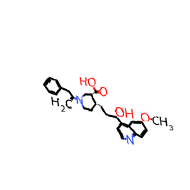 C=C(Cc1ccccc1)N1CC[C@@H](CC[C@H](O)c2ccnc3ccc(OC)cc23)[C@@H](C(=O)O)C1